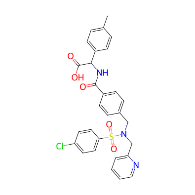 Cc1ccc(C(NC(=O)c2ccc(CN(Cc3ccccn3)S(=O)(=O)c3ccc(Cl)cc3)cc2)C(=O)O)cc1